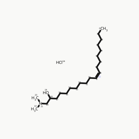 CCCCCCCC/C=C\CCCCCCCCC(O)CN(C)C.Cl